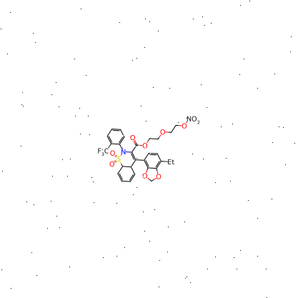 CCc1ccc(C2=C(C(=O)OCCOCCO[N+](=O)[O-])N(c3ccccc3C(F)(F)F)S(=O)(=O)C3C=CC=CC23)c2c1OCO2